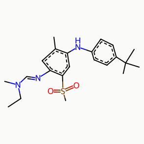 CCN(C)C=Nc1cc(C)c(Nc2ccc(C(C)(C)C)cc2)cc1S(C)(=O)=O